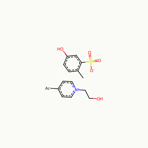 CC(=O)c1cc[n+](CCO)cc1.Cc1ccc(O)cc1S(=O)(=O)[O-]